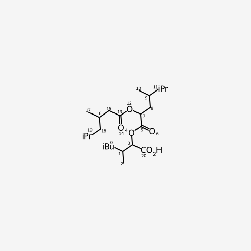 CCC(C)C(C)C(OC(=O)C(CC(C)C(C)C)OC(=O)CC(C)CC(C)C)C(=O)O